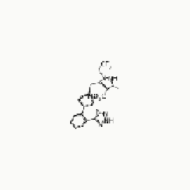 CC1NN(CC(F)(F)F)C(Cc2ccc(-c3ccccc3-c3nn[nH]n3)cc2)=C1C(=O)O